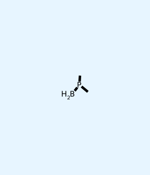 BP(C)C